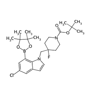 CC(C)(C)OC(=O)N1CCC(F)(Cn2ccc3cc(Cl)cc(B4OC(C)(C)C(C)(C)O4)c32)CC1